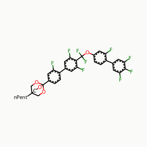 CCCCCC12COC(c3ccc(-c4cc(F)c(C(F)(F)Oc5ccc(-c6cc(F)c(F)c(F)c6)c(F)c5)c(F)c4)c(F)c3)(OC1)OC2